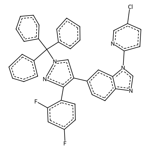 Fc1ccc(-c2nn(C(c3ccccc3)(c3ccccc3)c3ccccc3)cc2-c2ccc3ncn(-c4ccc(Cl)cn4)c3c2)c(F)c1